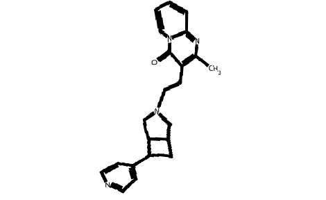 Cc1nc2ccccn2c(=O)c1CCN1CC2CC(c3ccncc3)C2C1